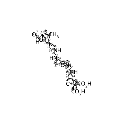 Cn1c(=O)n(C2CCC(=O)NC2=O)c2ccc(N3CCC(NCCNc4cccc(CS(=O)(=O)N5CCC(Nc6cccc(-c7sc(C(=O)O)c(OCC(=O)O)c7Cl)c6)CC5)c4)CC3)cc21